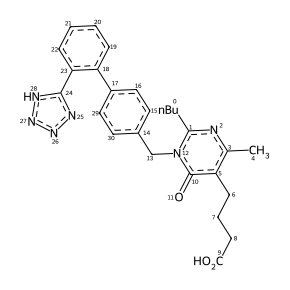 CCCCc1nc(C)c(CCCC(=O)O)c(=O)n1Cc1ccc(-c2ccccc2-c2nnn[nH]2)cc1